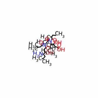 CCCC(C)C(=O)N(C(=O)C(C)(C)N(C(=O)CC(C)C)C(=O)C[C@H](O)[C@@H](N)CC(C)C)[C@@H](CC(C)C)[C@@H](O)CC(=O)O